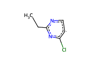 CCc1nc[c]c(Cl)n1